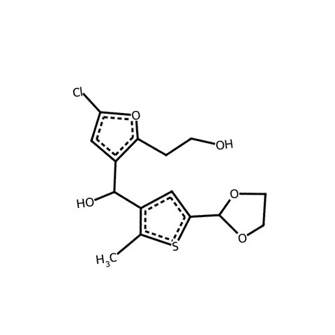 Cc1sc(C2OCCO2)cc1C(O)c1cc(Cl)oc1CCO